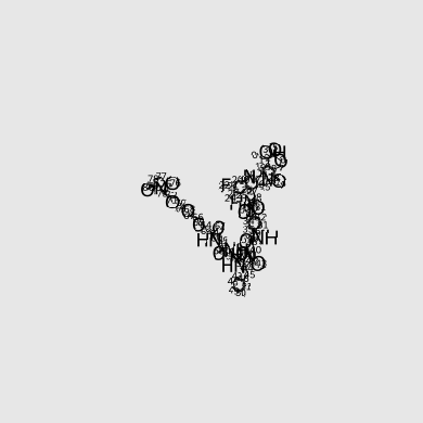 CC[C@@]1(O)C(=O)OCc2c1cc1n(c2=O)Cc2c-1nc1cc(F)c(C)cc1c2CNS(=O)(=O)c1ccc(NC(=O)CNC(=O)C(Cc2ccccc2)NC(=O)CNC(=O)CNC(=O)CCOCCOCCOCCN2C(=O)C=CC2=O)cc1